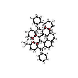 C[Si](C)(C)c1ccc(N(c2ccccc2)c2ccc3ccc4ccc(N(c5ccccc5)c5ccccc5-c5ccccc5)c5c6ccccc6c2c3c45)cc1